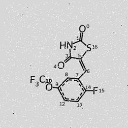 O=C1NC(=O)/C(=C\c2cc(OC(F)(F)F)ccc2F)S1